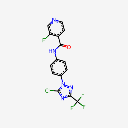 O=C(Nc1ccc(-n2nc(C(F)(F)F)nc2Cl)cc1)c1ccncc1F